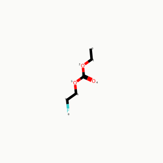 C[CH]OC(=O)OCCF